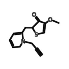 C#CCN1CC=CC=C1CC1SC=C(OC)C1=O